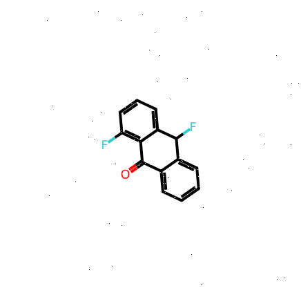 O=C1c2ccccc2C(F)c2cccc(F)c21